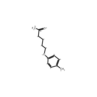 Cc1ccc(OCCCCC(=O)C(F)(F)F)cc1